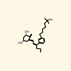 C=C1C(=CC=C(CCC)c2cccc(CCCCCC(C)(C)O)c2)C[C@@H](O)C[C@@H]1O